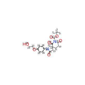 CC(C)(C)OC(=O)N1C(=O)CCC2(CC(=O)N(c3ccc(OCCO)cc3)C2)C1=O